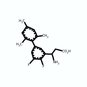 Cc1cc(C)c(-c2cc(F)c(F)c(C(N)CC(=O)O)c2)c(C)c1